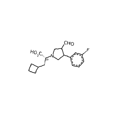 O=CC1CN([C@H](CC2CCC2)C(=O)O)CC1c1cccc(F)c1